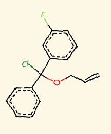 C=CCOC(Cl)(c1ccccc1)c1cccc(F)c1